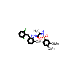 COc1ccc(S(=O)(=O)N[C@H](C)C(=O)Nc2c(Cc3c(F)cccc3F)cccc2OC)cc1OC